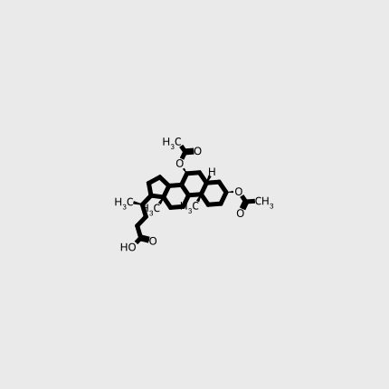 CC(=O)O[C@@H]1CC[C@]2(C)C3CC[C@@]4(C)C(CCC4[C@H](C)CCC(=O)O)C3[C@H](OC(C)=O)C[C@@H]2C1